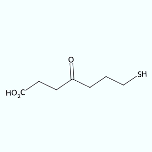 O=C(O)CCC(=O)CCCS